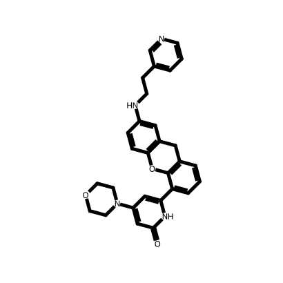 O=c1cc(N2CCOCC2)cc(-c2cccc3c2Oc2ccc(NCCc4cccnc4)cc2C3)[nH]1